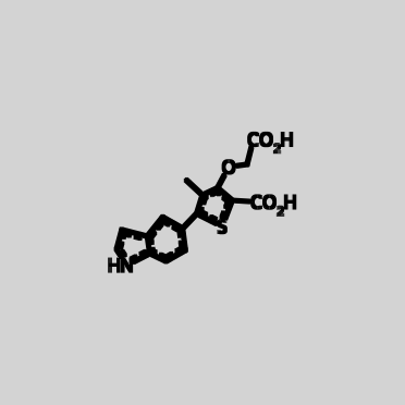 Cc1c(-c2ccc3[nH]ccc3c2)sc(C(=O)O)c1OCC(=O)O